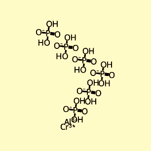 O=P([O-])(O)O.O=P([O-])(O)O.O=P([O-])(O)O.O=P([O-])(O)O.O=P([O-])(O)O.O=P([O-])(O)O.[Al+3].[Cr+3]